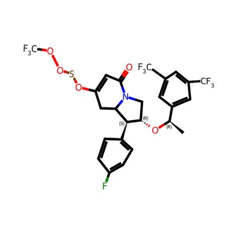 C[C@@H](O[C@H]1CN2C(=O)C=C(OSOOC(F)(F)F)CC2[C@@H]1c1ccc(F)cc1)c1cc(C(F)(F)F)cc(C(F)(F)F)c1